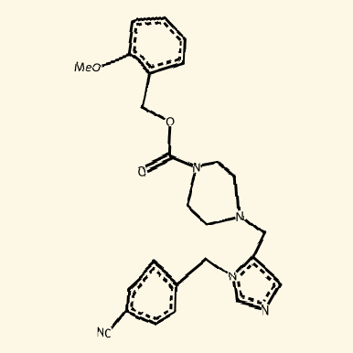 COc1ccccc1COC(=O)N1CCN(Cc2cncn2Cc2ccc(C#N)cc2)CC1